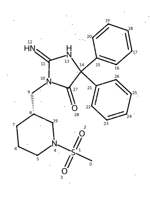 CS(=O)(=O)N1CCC[C@H](CN2C(=N)NC(c3ccccc3)(c3ccccc3)C2=O)C1